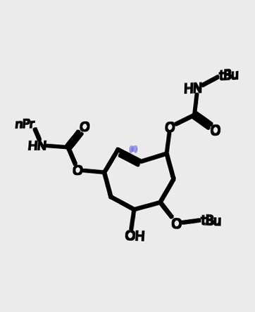 CCCNC(=O)OC1/C=C/C(OC(=O)NC(C)(C)C)CC(OC(C)(C)C)C(O)C1